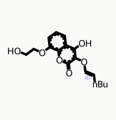 CCCC/C=C/Oc1c(O)c2cccc(OCCO)c2oc1=O